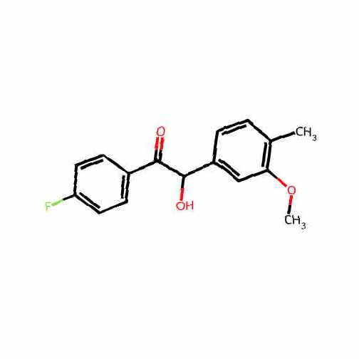 COc1cc(C(O)C(=O)c2ccc(F)cc2)ccc1C